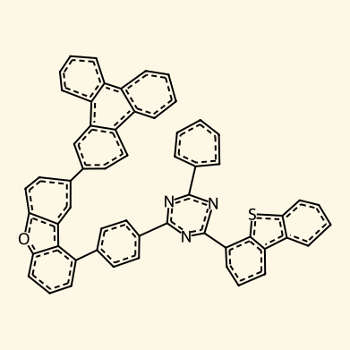 c1ccc(-c2nc(-c3ccc(-c4cccc5oc6ccc(-c7ccc8c9ccccc9c9ccccc9c8c7)cc6c45)cc3)nc(-c3cccc4c3sc3ccccc34)n2)cc1